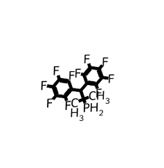 CC(C)(P)C(c1c(F)c(F)c(F)c(F)c1F)c1c(F)c(F)c(F)c(F)c1F